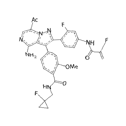 C=C(F)C(=O)Nc1ccc(-c2nn3c(C(C)=O)cnc(N)c3c2-c2ccc(C(=O)NCC3(F)CC3)c(OC)c2)c(F)c1